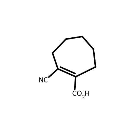 N#CC1=C(C(=O)O)CCCCC1